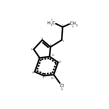 CC(C)CC1=CCc2ccc(Cl)cc21